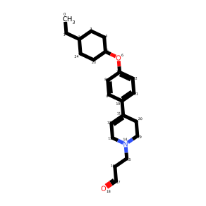 CCC1CCC(Oc2ccc(C3=CCN(CCC=O)CC3)cc2)CC1